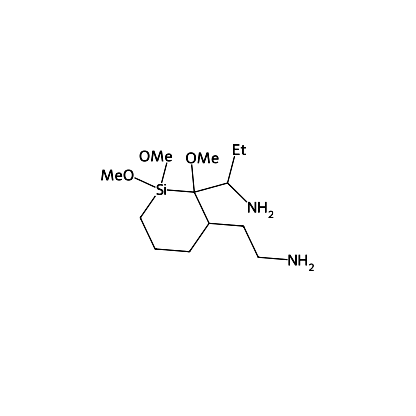 CCC(N)C1(OC)C(CCN)CCC[Si]1(OC)OC